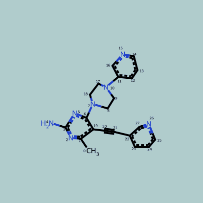 Cc1nc(N)nc(N2CCN(c3cccnc3)CC2)c1C#Cc1cccnc1